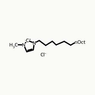 CCCCCCCCCCCCCCN1[C+]N(C)C=C1.[Cl-]